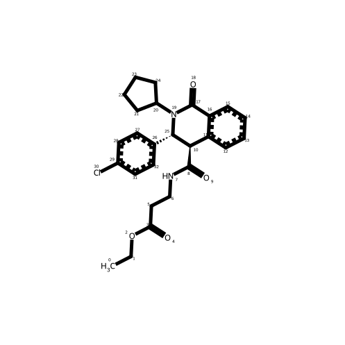 CCOC(=O)CCNC(=O)[C@@H]1c2ccccc2C(=O)N(C2CCCC2)[C@H]1c1ccc(Cl)cc1